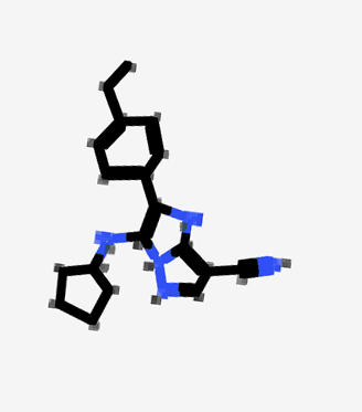 CCc1ccc(-c2[nH]c3c(C#N)cnn3c2NC2CCCC2)cc1